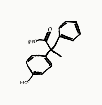 COC(=O)C(C)(c1ccccc1)c1ccc(O)cc1